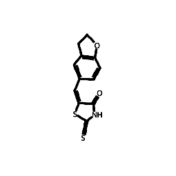 O=C1NC(=S)S/C1=C/c1ccc2c(c1)CCO2